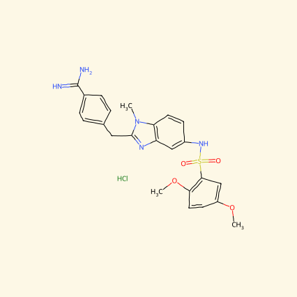 COc1ccc(OC)c(S(=O)(=O)Nc2ccc3c(c2)nc(Cc2ccc(C(=N)N)cc2)n3C)c1.Cl